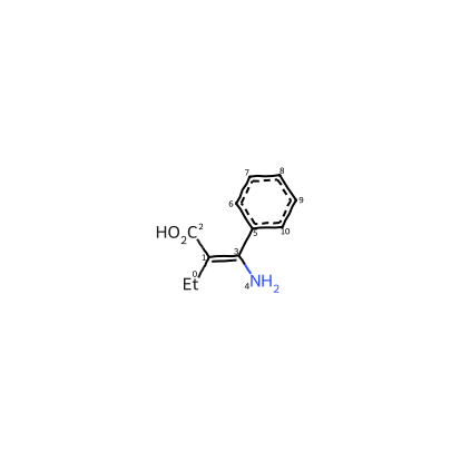 CCC(C(=O)O)=C(N)c1ccccc1